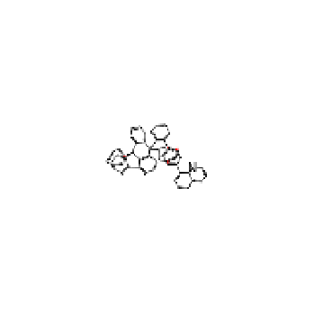 c1ccc(C2(c3ccccc3-c3ccc(-c4cccc5cccnc45)cc3)c3ccccc3C3(c4ccccc4)c4ccccc4-c4cccc2c43)cc1